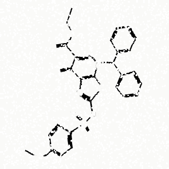 CCOC(=O)c1cn(C(c2ccccc2)c2ccccc2)c2sc(NS(=O)(=O)c3ccc(OC)cc3)nc2c1=O